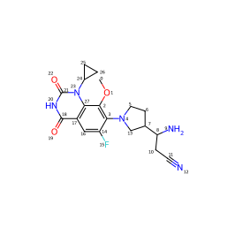 COc1c(N2CCC(C(N)CC#N)C2)c(F)cc2c(=O)[nH]c(=O)n(C3CC3)c12